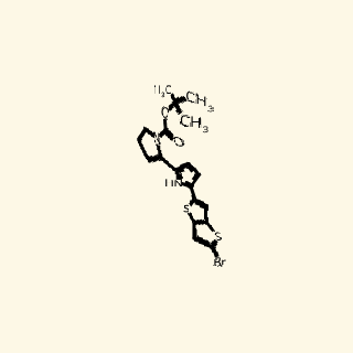 CC(C)(C)OC(=O)N1CCCC1c1ccc(C2=CC3SC(Br)=CC3S2)[nH]1